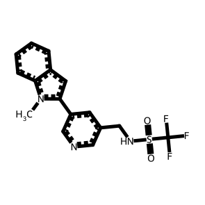 Cn1c(-c2cncc(CNS(=O)(=O)C(F)(F)F)c2)cc2ccccc21